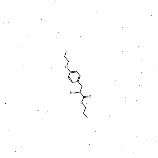 CCCOC(=O)C(O)Cc1ccc(OCCCl)cc1